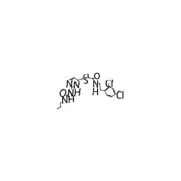 CCCNC(=O)Nc1nccc(-c2ccc(C(=O)NCCc3ccc(Cl)cc3Cl)s2)n1